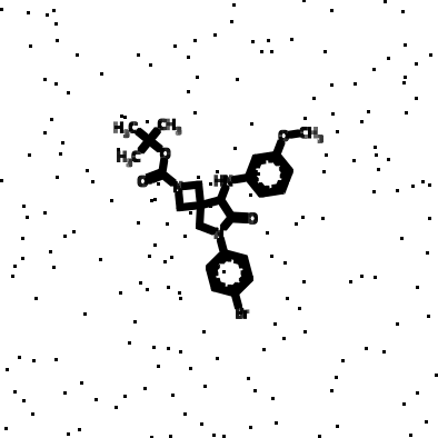 COc1cccc(NC2C(=O)N(c3ccc(Br)cc3)CC23CN(C(=O)OC(C)(C)C)C3)c1